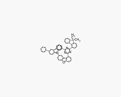 CC1(C)c2ccccc2-c2c(-c3nc(-c4ccccc4)nc(-c4cccc5oc6ccc(-n7c8ccccc8c8cc(-c9ccccc9)ccc87)cc6c45)n3)cccc21